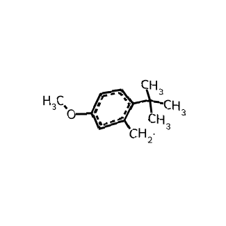 [CH2]c1cc(OC)ccc1C(C)(C)C